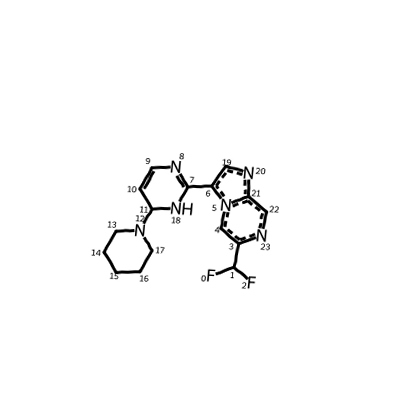 FC(F)c1cn2c(C3=NC=CC(N4CCCCC4)N3)cnc2cn1